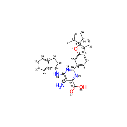 CC(C)[Si](Oc1cccc(-c2nc(NC3CCc4ccccc43)c(N)c(C(=O)O)n2)c1)(C(C)C)C(C)C